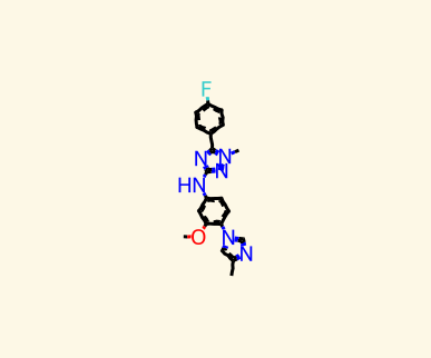 COc1cc(Nc2nc(-c3ccc(F)cc3)n(C)n2)ccc1-n1cnc(C)c1